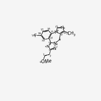 COCCc1nc2n(n1)Cc1c(C)ncn1-c1ccc(F)cc1-2